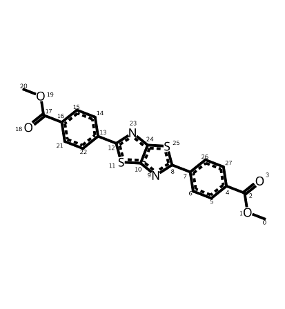 COC(=O)c1ccc(-c2nc3sc(-c4ccc(C(=O)OC)cc4)nc3s2)cc1